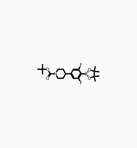 CC(C)(C)OC(=O)N1CCC(c2cc(F)c(B3OC(C)(C)C(C)(C)O3)c(F)c2)CC1